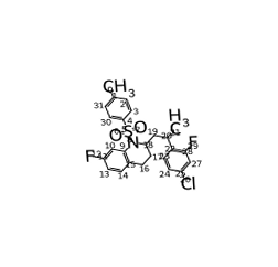 Cc1ccc(S(=O)(=O)N2c3cc(F)ccc3CCC2CC(C)c2ccc(Cl)cc2F)cc1